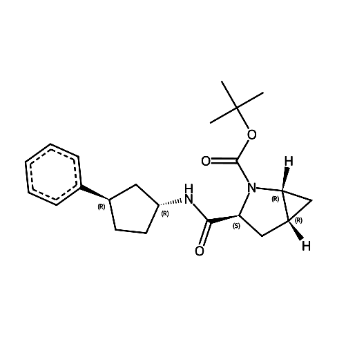 CC(C)(C)OC(=O)N1[C@@H]2C[C@@H]2C[C@H]1C(=O)N[C@@H]1CC[C@@H](c2ccccc2)C1